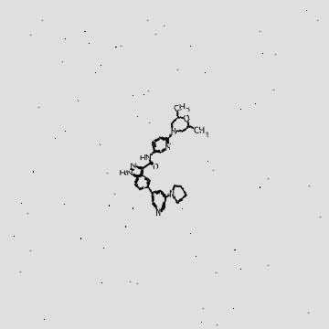 CC1CN(c2ccc(NC(=O)c3n[nH]c4ccc(-c5cncc(N6CCCC6)c5)cc34)cn2)CC(C)O1